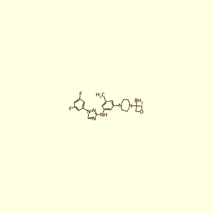 BC1(N2CCN(c3cc(C)cc(Nc4ncn(-c5cc(F)cc(F)c5)n4)c3)CC2)COC1